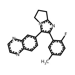 Cc1ccc(F)c(-c2nc3n(c2-c2ccc4nccnc4c2)CCC3)c1